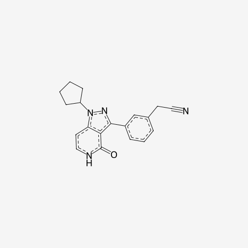 N#CCc1cccc(-c2nn(C3CCCC3)c3cc[nH]c(=O)c23)c1